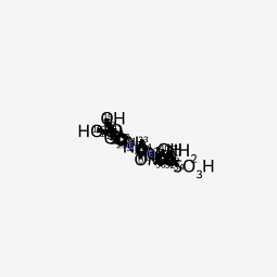 COc1cc(/N=N/c2ccc(S(=O)(=O)N(CCO)CCO)cc2)c(C)cc1/N=N/c1ccc2cc(S(=O)(=O)O)cc(N)c2c1O